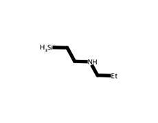 CCCNCC[SiH3]